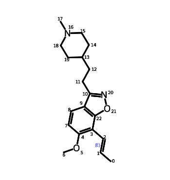 C/C=C/c1c(OC)ccc2c(CCC3CCN(C)CC3)noc12